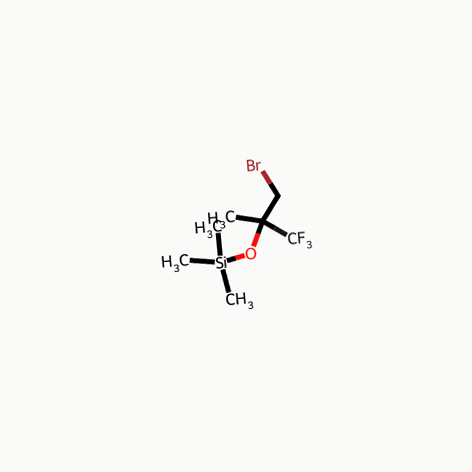 CC(CBr)(O[Si](C)(C)C)C(F)(F)F